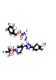 CN(CCn1cc(-c2ccc(F)c(Cl)c2)nc1C1CCN(C(=O)OC(C)(C)C)CC1)C(=O)OCc1ccccc1